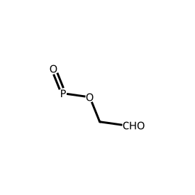 O=CCOP=O